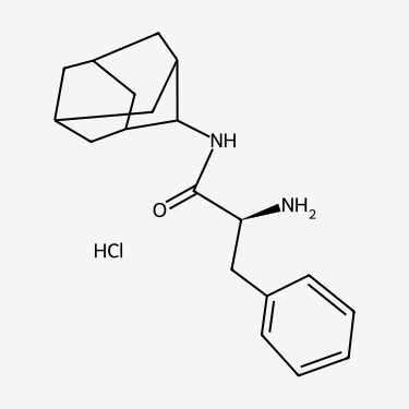 Cl.N[C@@H](Cc1ccccc1)C(=O)NC1C2CC3CC(C2)CC1C3